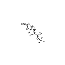 CC(C)(C)OC(=O)C1=NC(N)(CC(=O)O)CS1